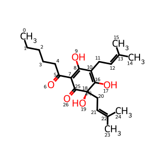 CCCCCC(=O)C1=C(O)C(CC=C(C)C)=C(O)[C@](O)(CC=C(C)C)C1=O